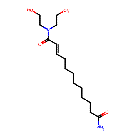 NC(=O)CCCCCCCC/C=C/C(=O)N(CCO)CCO